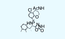 CC(=O)NC1CCOc2c(SN[C@H](c3n[nH]c(=O)o3)[C@H](C)c3c(C)ccc(C)c3C)ccc(Cl)c21